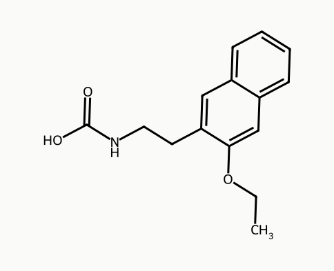 CCOc1cc2ccccc2cc1CCNC(=O)O